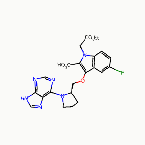 CCOC(=O)Cn1c(C(=O)O)c(OC[C@H]2CCCN2c2ncnc3[nH]cnc23)c2cc(F)ccc21